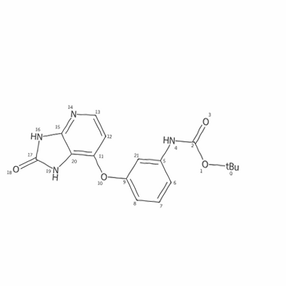 CC(C)(C)OC(=O)Nc1cccc(Oc2ccnc3[nH]c(=O)[nH]c23)c1